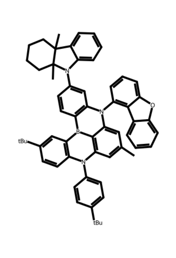 Cc1cc2c3c(c1)N(c1cccc4oc5ccccc5c14)c1cc(N4c5ccccc5C5(C)CCCCC45C)ccc1B3c1cc(C(C)(C)C)ccc1N2c1ccc(C(C)(C)C)cc1